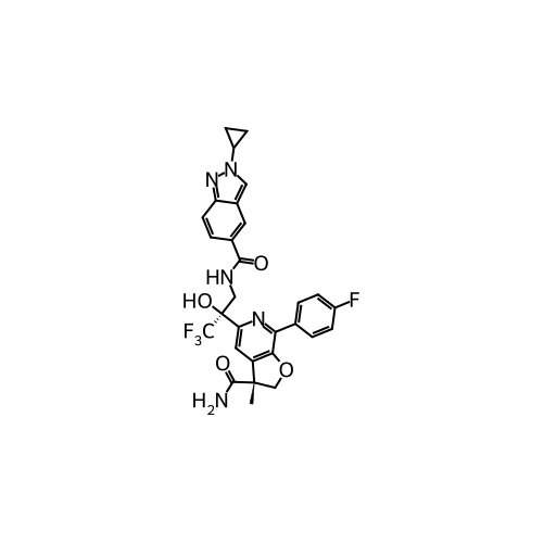 C[C@]1(C(N)=O)COc2c1cc([C@@](O)(CNC(=O)c1ccc3nn(C4CC4)cc3c1)C(F)(F)F)nc2-c1ccc(F)cc1